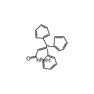 CCCCCC(=O)C=P(c1ccccc1)(c1ccccc1)c1ccccc1